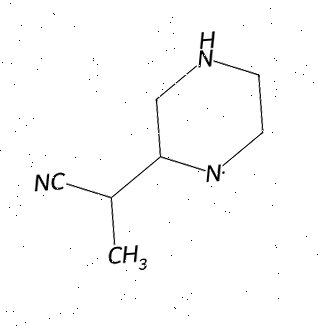 CC(C#N)C1CNCC[N]1